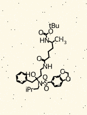 CC(C)CN(C(O)(CCNC(=O)CCCC(C)NC(=O)OC(C)(C)C)Cc1ccccc1)S(=O)(=O)c1ccc2c(c1)OCO2